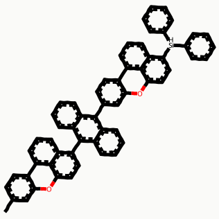 Cc1ccc2c(c1)Oc1ccc(-c3c4ccccc4c(-c4ccc5c(c4)Oc4ccc([SiH](c6ccccc6)c6ccccc6)c6cccc-5c46)c4ccccc34)c3cccc-2c13